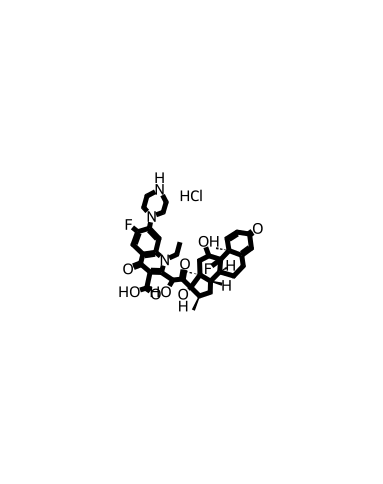 CCn1c(C(O)C(=O)[C@@]2(O)[C@H](C)C[C@H]3[C@@H]4CCC5=CC(=O)C=C[C@]5(C)C4(F)C(O)C[C@@]32C)c(C(=O)O)c(=O)c2cc(F)c(N3CCNCC3)cc21.Cl